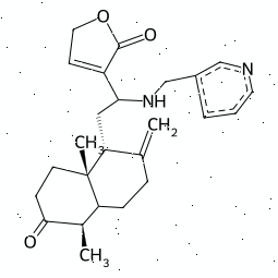 C=C1CCC2[C@@H](C)C(=O)CC[C@]2(C)[C@@H]1CC(NCc1cccnc1)C1=CCOC1=O